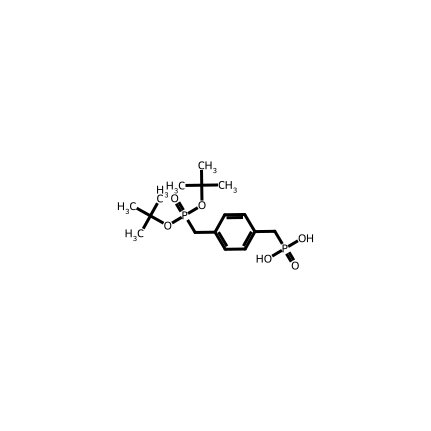 CC(C)(C)OP(=O)(Cc1ccc(CP(=O)(O)O)cc1)OC(C)(C)C